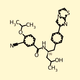 CC(O)C[C@H](Cc1ccc(-c2cn3ccsc3n2)cc1)NC(=O)c1ccc(OC(C)C)c(C#N)c1